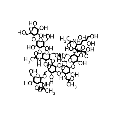 CC(=O)N[C@H]1[C@H](O[C@H]2[C@@H](O)[C@@H](CO)O[C@@H](O[C@H]3[C@H](O)[C@@H](O)[C@H](O)O[C@@H]3CO)[C@@H]2O)O[C@H](CO)[C@@H](O[C@@H]2O[C@H](CO[C@@H]3O[C@H](CO)[C@@H](O)[C@H](O)[C@H]3NC(C)=O)[C@H](O)[C@H](O[C@@H]3O[C@H](CO)[C@@H](O[C@@H]4O[C@H](CO)[C@H](O)[C@H](O[C@]5(C(=O)O)C[C@H](O)[C@@H](NC(C)=O)[C@H]([C@H](O)[C@H](O)CO)O5)[C@H]4O)[C@H](O)[C@H]3NC(C)=O)[C@H]2O)[C@@H]1O